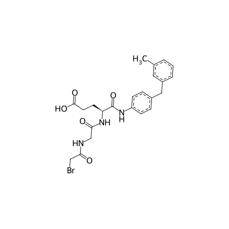 Cc1cccc(Cc2ccc(NC(=O)[C@H](CCC(=O)O)NC(=O)CNC(=O)CBr)cc2)c1